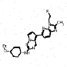 CCO[C@H]1CC[C@H](Nc2ncc3c(-c4ccc5nc(C)n(CCF)c5n4)ccn3n2)CC1